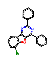 Brc1cccc2c1oc1c(-c3ccccc3)nc(-c3ccccc3)nc12